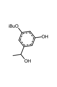 CC(C)COc1cc(O)cc(C(C)O)c1